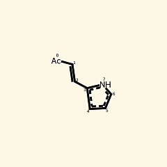 CC(=O)C=Cc1ccc[nH]1